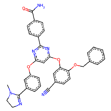 CN1CCN=C1c1cccc(Oc2cc(Oc3cc(C#N)ccc3OCc3ccccc3)nc(-c3ccc(C(N)=O)cc3)n2)c1